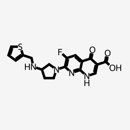 O=C(O)c1c[nH]c2nc(N3CCC(NCc4cccs4)C3)c(F)cc2c1=O